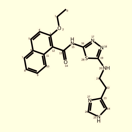 CCOc1ccc2ccccc2c1C(=O)Nc1nnc(NCCc2c[nH]cn2)s1